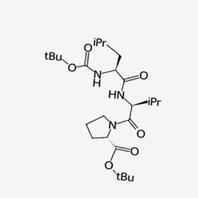 CC(C)C[C@H](NC(=O)OC(C)(C)C)C(=O)N[C@H](C(=O)N1CCC[C@H]1C(=O)OC(C)(C)C)C(C)C